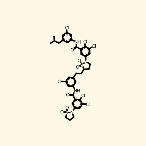 CC(C)Cc1cc(Cl)cc(NC(=O)c2cc(N3CCC(CCc4cc(Cl)cc(NC(=O)c5cc(N6CCCS6(=O)=O)cc(Cl)c5Cl)c4)S3(=O)=O)cc(Cl)c2Cl)c1